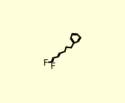 FC(F)=CC=CCCCc1ccccc1